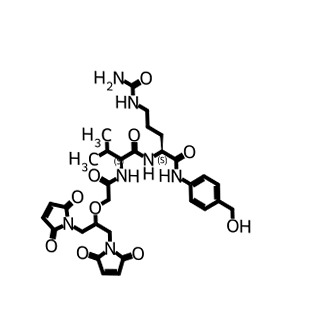 CC(C)[C@H](NC(=O)COC(CN1C(=O)C=CC1=O)CN1C(=O)C=CC1=O)C(=O)N[C@@H](CCCNC(N)=O)C(=O)Nc1ccc(CO)cc1